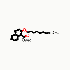 CCCCCCCCCCCCCCCCCOc1ccc2ccccc2c1C(=O)OC